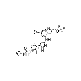 O=C(NC12CC(C1)C2)O[C@H]1CO[C@@H](c2cc(Nc3nc(C4CC4)cn4nc(COC(F)(F)F)cc34)n[nH]2)[C@H]1F